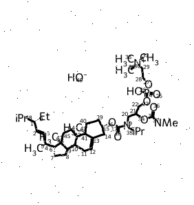 CC[C@H](/C=C/[C@@H](C)[C@H]1CCC2C3CC=C4C[C@@H](OC(=O)N(CC(COP(=O)(O)OCC[N+](C)(C)C)OC(=O)NC)C(C)C)CC[C@]4(C)C3CC[C@@]21C)C(C)C.[OH-]